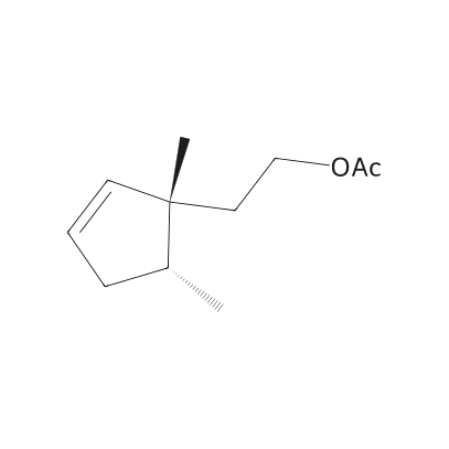 CC(=O)OCC[C@@]1(C)C=CC[C@H]1C